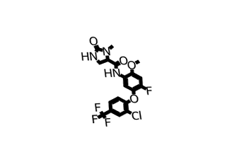 COc1cc(F)c(Oc2ccc(C(F)(F)F)cc2Cl)cc1NC(=O)C1CNC(=O)N1C